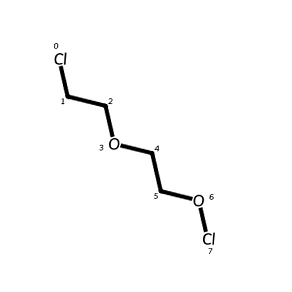 ClCCOCCOCl